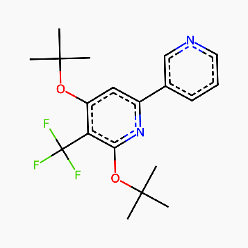 CC(C)(C)Oc1cc(-c2cccnc2)nc(OC(C)(C)C)c1C(F)(F)F